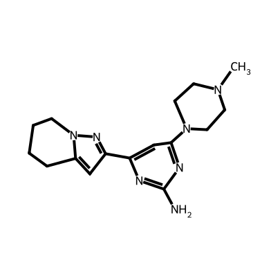 CN1CCN(c2cc(-c3cc4n(n3)CCCC4)nc(N)n2)CC1